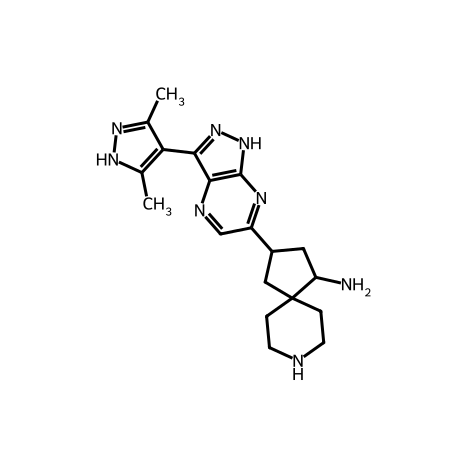 Cc1n[nH]c(C)c1-c1n[nH]c2nc(C3CC(N)C4(CCNCC4)C3)cnc12